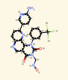 Nc1ccc(-c2ccc3ncc4c(=O)n(CN=O)c(=O)n(-c5cccc(C(F)(F)F)c5)c4c3n2)cn1